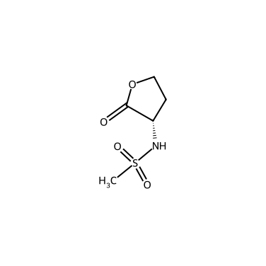 CS(=O)(=O)N[C@H]1CCOC1=O